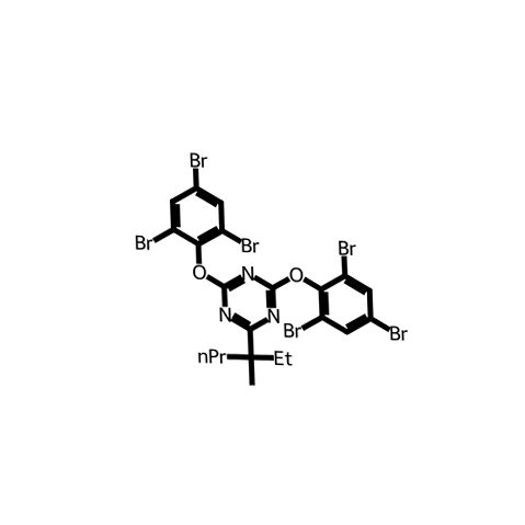 CCCC(C)(CC)c1nc(Oc2c(Br)cc(Br)cc2Br)nc(Oc2c(Br)cc(Br)cc2Br)n1